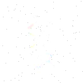 COC(=O)C(C)c1ccc(-c2nn(C(C)C)c(N)c2C#N)c(F)c1F